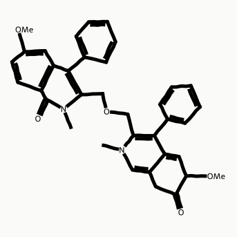 COc1ccc2c(=O)n(C)c(COCC3=C(c4ccccc4)C4=CC(OC)C(=O)CC4=CN3C)c(-c3ccccc3)c2c1